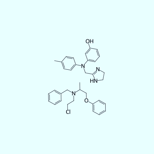 CC(COc1ccccc1)N(CCCl)Cc1ccccc1.Cc1ccc(N(CC2=NCCN2)c2cccc(O)c2)cc1